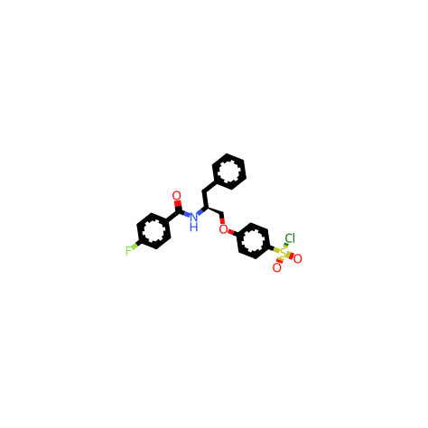 O=C(N[C@H](COc1ccc(S(=O)(=O)Cl)cc1)Cc1ccccc1)c1ccc(F)cc1